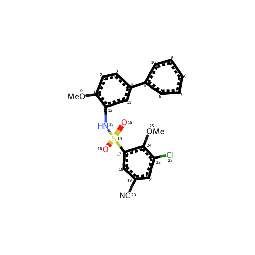 COc1ccc(-c2ccccc2)cc1NS(=O)(=O)c1cc(C#N)cc(Cl)c1OC